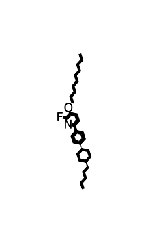 CCCCCCCCCCOc1ccc(-c2ccc([C@H]3CC[C@H](CCCCC)CC3)cc2)nc1F